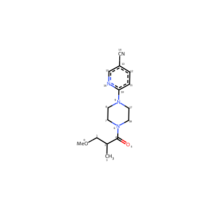 COCC(C)C(=O)N1CCN(c2ccc(C#N)cn2)CC1